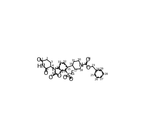 O=C1CCC(n2c(=O)oc3c(S(=O)(=O)F)c(C4CCN(C(=O)OCc5ccccc5)CC4)ccc32)C(=O)N1